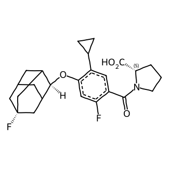 O=C(O)[C@@H]1CCCN1C(=O)c1cc(C2CC2)c(O[C@H]2C3CC4CC2C[C@](F)(C4)C3)cc1F